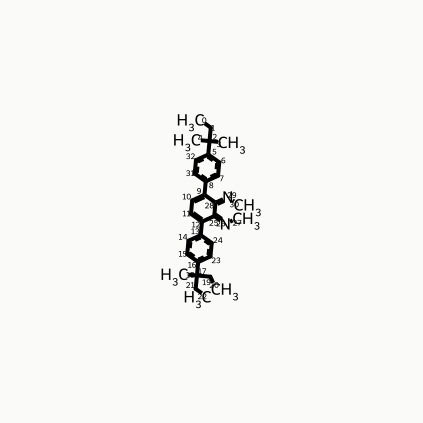 CCC(C)(C)c1ccc(C2=CC=C(c3ccc(C(C)(CC)CC)cc3)C(=N/C)/C2=N\C)cc1